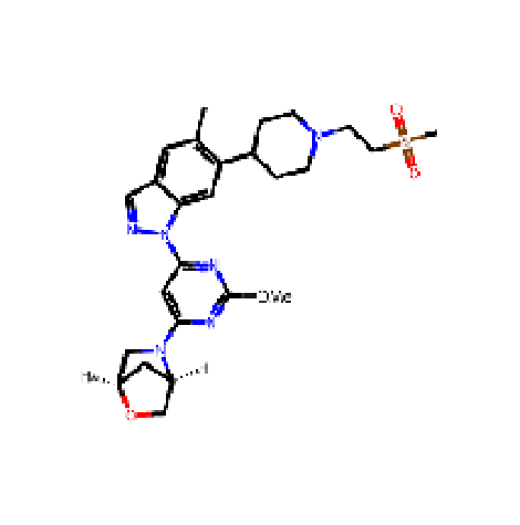 COc1nc(N2C[C@H]3C[C@@H]2CO3)cc(-n2ncc3cc(C)c(C4CCN(CCS(C)(=O)=O)CC4)cc32)n1